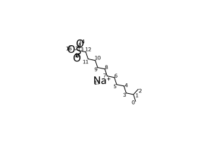 CC(C)CCCCCCCCCCS(=O)(=O)[O-].[Na+]